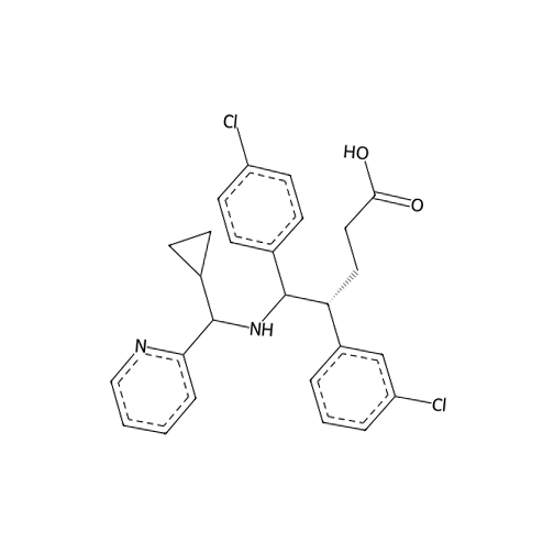 O=C(O)CC[C@H](c1cccc(Cl)c1)C(NC(c1ccccn1)C1CC1)c1ccc(Cl)cc1